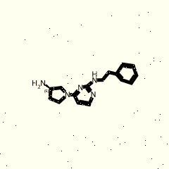 N[C@@H]1CCN(c2ccnc(NCCc3ccccc3)n2)C1